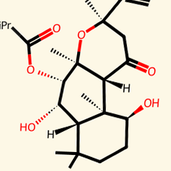 C=C[C@@]1(C)CC(=O)[C@H]2[C@](C)(O1)[C@@H](OC(=O)C(C)C)[C@@H](O)[C@H]1C(C)(C)CC[C@H](O)[C@@]12C